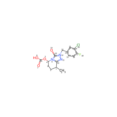 CC1CCC(OC(=O)O)n2c1nn(Cc1ccc(F)c(Cl)c1)c2=O